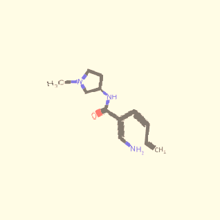 C=C/C=C\C(=C/N)C(=O)N[C@@H]1CCN(C)C1